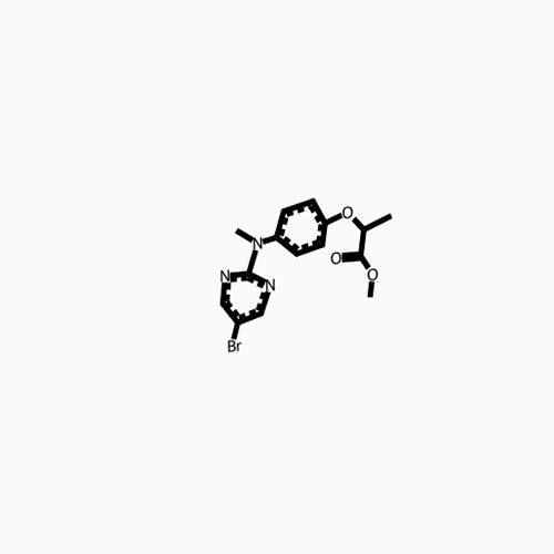 COC(=O)C(C)Oc1ccc(N(C)c2ncc(Br)cn2)cc1